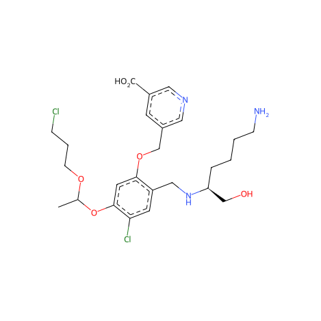 CC(OCCCCl)Oc1cc(OCc2cncc(C(=O)O)c2)c(CN[C@H](CO)CCCCN)cc1Cl